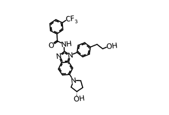 O=C(Nc1nc2ccc(N3CC[C@H](O)C3)cc2n1-c1ccc(CCO)cc1)c1cccc(C(F)(F)F)c1